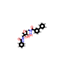 O=C(NC[C@H]1OC[C@@](O)(CNC(=O)c2ccccc2)[C@@H]1O)c1cccc(-c2ccccc2)c1